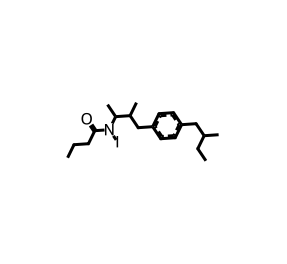 CCCC(=O)N(I)C(C)C(C)Cc1ccc(CC(C)CC)cc1